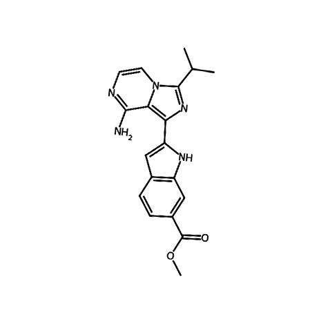 COC(=O)c1ccc2cc(-c3nc(C(C)C)n4ccnc(N)c34)[nH]c2c1